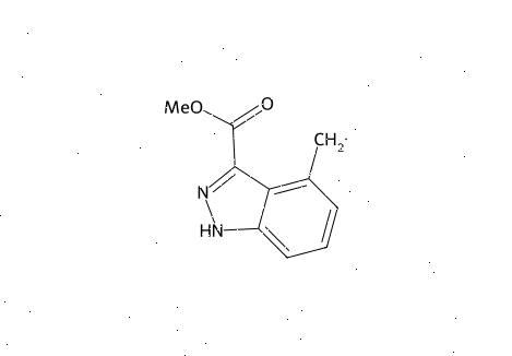 [CH2]c1cccc2[nH]nc(C(=O)OC)c12